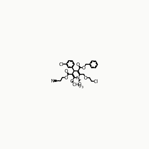 COC1=C(C(=O)OCCC#N)C(c2cccc(Cl)c2)C(C(=O)OCc2ccccc2)=C(COCCCl)N1C